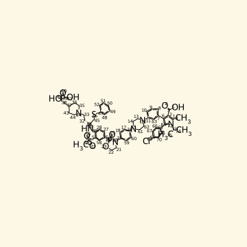 Cc1c(C(=O)O)c(-c2cccc(N3CCN(c4ccc(N5CCO[P@]5(=O)c5ccc(N[C@H](CCN6CCC(CP(=O)(O)O)CC6)CSc6ccccc6)c(S(C)(=O)=O)c5)cc4)CC3)c2)c(-c2ccc(Cl)cc2)n1C(C)C